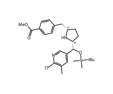 COC(=O)c1ccc(C[C@@H]2CC[C@H](C(O[Si](C)(C)C(C)(C)C)c3cnc(Cl)c(C)c3)N2)cc1